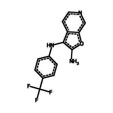 Nc1oc2cnccc2c1Nc1ccc(C(F)(F)F)cc1